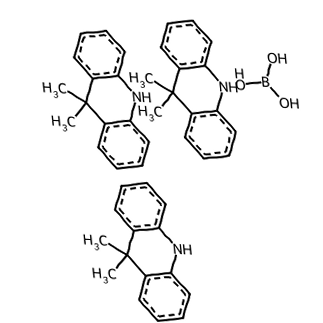 CC1(C)c2ccccc2Nc2ccccc21.CC1(C)c2ccccc2Nc2ccccc21.CC1(C)c2ccccc2Nc2ccccc21.OB(O)O